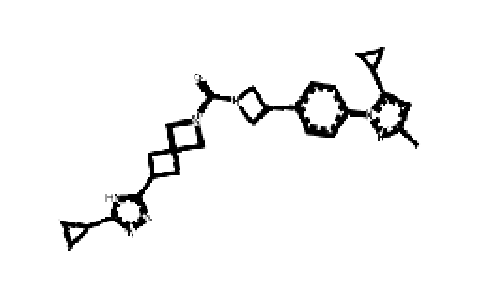 Cc1cc(C2CC2)n(-c2ccc(C3CN(C(=O)N4CC5(CC(c6nnc(C7CC7)[nH]6)C5)C4)C3)cc2)n1